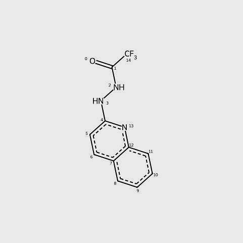 O=C(NNc1ccc2ccccc2n1)C(F)(F)F